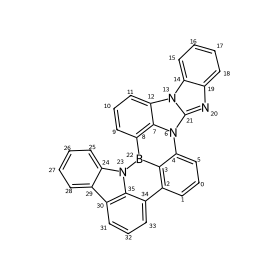 c1cc2c3c(c1)-n1c4c(cccc4n4c5ccccc5nc14)B3n1c3ccccc3c3cccc-2c31